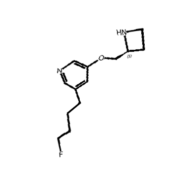 FCCCCc1cncc(OC[C@@H]2CCN2)c1